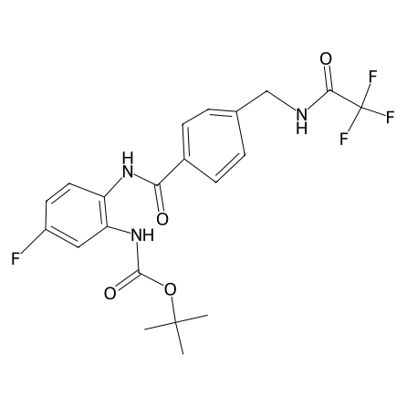 CC(C)(C)OC(=O)Nc1cc(F)ccc1NC(=O)c1ccc(CNC(=O)C(F)(F)F)cc1